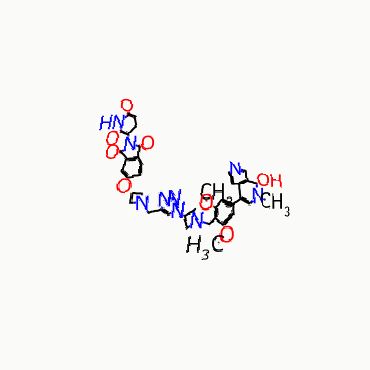 COc1cc(C2=CN(C)C(O)c3cnccc32)cc(OC)c1CN1CC(n2cc(CN3CC(Oc4ccc5c(c4)C(=O)N(C4CCC(=O)NC4=O)C5=O)C3)nn2)C1